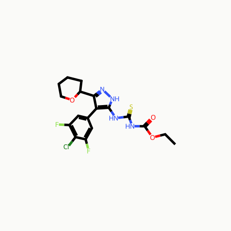 CCOC(=O)NC(=S)Nc1[nH]nc(C2CCCCO2)c1-c1cc(F)c(Cl)c(F)c1